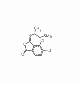 CSC[C@H](C)/N=C1/OC(=O)c2ccc(Cl)c(Cl)c21